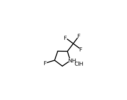 Cl.FC1CNC(C(F)(F)F)C1